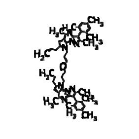 C=CCc1cc2c(C)nc3c(-c4c(C)cc(C)cc4C)c(C)nn3c2n1CCCOCCCn1c(CC=C)cc2c(C)nc3c(-c4c(C)cc(C)cc4C)c(C)nn3c21